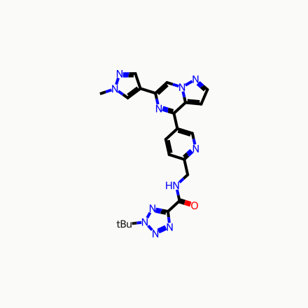 Cn1cc(-c2cn3nccc3c(-c3ccc(CNC(=O)c4nnn(C(C)(C)C)n4)nc3)n2)cn1